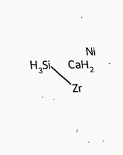 [CaH2].[Ni].[SiH3][Zr]